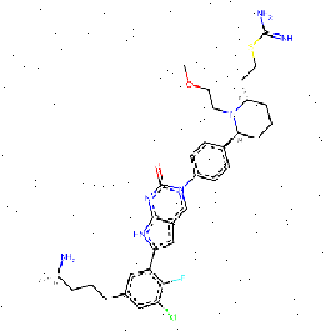 COCCN1[C@H](CCSC(=N)N)CCC[C@H]1c1ccc(-n2cc3cc(-c4cc(CCC[C@H](C)N)cc(Cl)c4F)[nH]c3nc2=O)cc1